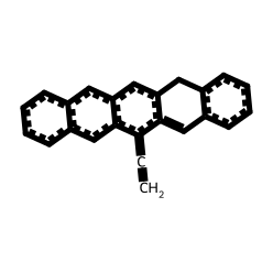 C=C=c1c2c(cc3cc4ccccc4cc13)Cc1ccccc1C=2